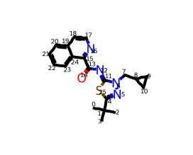 CC(C)(C)c1nn(CC2CC2)/c(=N/C(=O)c2nccc3ccccc23)s1